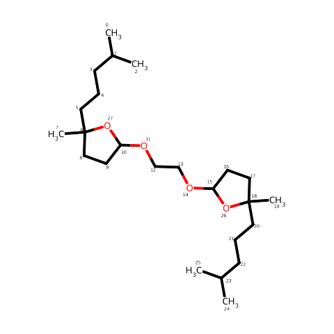 CC(C)CCCC1(C)CCC(OCCOC2CCC(C)(CCCC(C)C)O2)O1